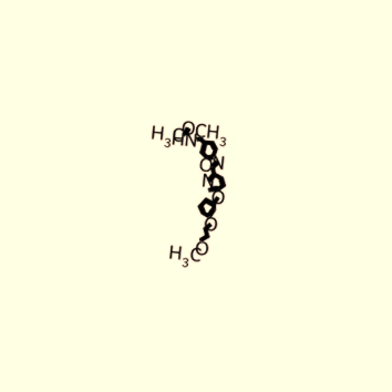 COCCCOc1cccc(Oc2ccc(-c3nc4ccc(C(C)NC(C)=O)cc4o3)nc2)c1